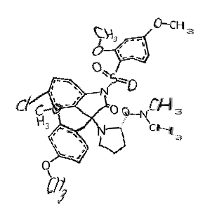 COc1ccc(C2(N3CCC[C@H]3C(=O)N(C)C)C(=O)N(S(=O)(=O)c3ccc(OC)cc3OC)c3ccc(Cl)cc32)c(OC)c1